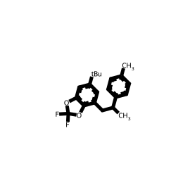 Cc1ccc(C(C)Cc2cc(C(C)(C)C)cc3c2OC(F)(F)O3)cc1